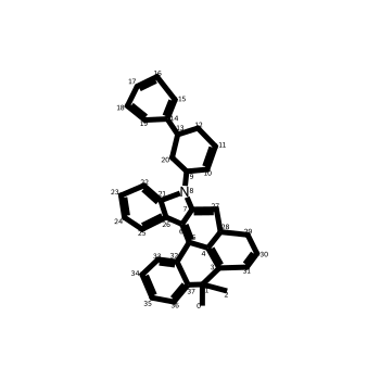 CC1(C)C2=C3C(=c4c(n(C5C=CCC(c6ccccc6)C5)c5ccccc45)=CC3CC=C2)c2ccccc21